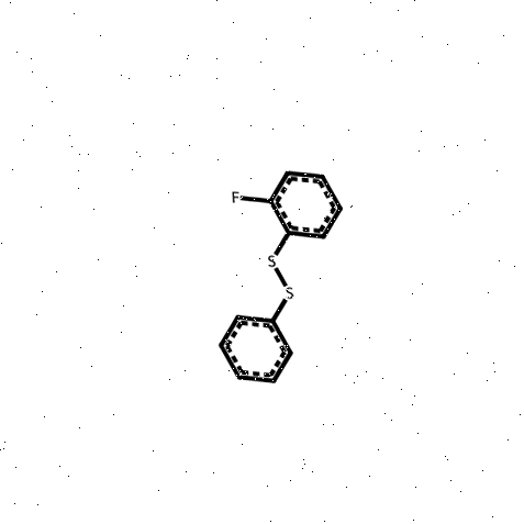 Fc1ccccc1SSc1ccccc1